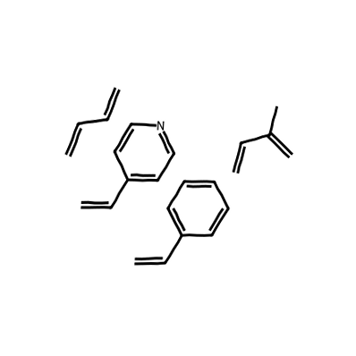 C=CC(=C)C.C=CC=C.C=Cc1ccccc1.C=Cc1ccncc1